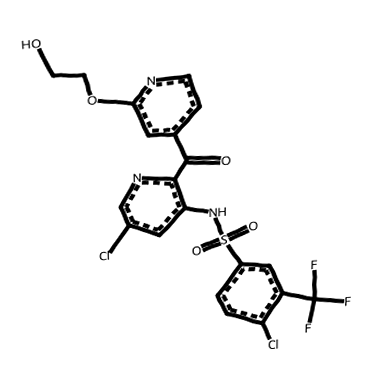 O=C(c1ccnc(OCCO)c1)c1ncc(Cl)cc1NS(=O)(=O)c1ccc(Cl)c(C(F)(F)F)c1